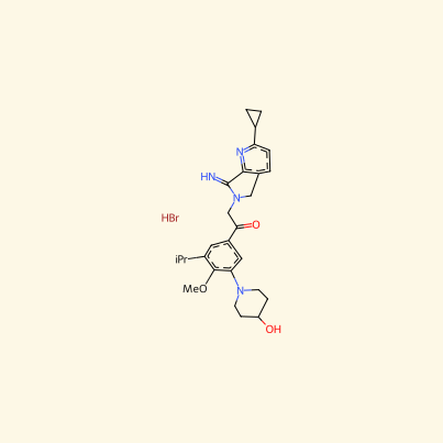 Br.COc1c(C(C)C)cc(C(=O)CN2Cc3ccc(C4CC4)nc3C2=N)cc1N1CCC(O)CC1